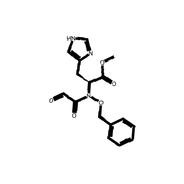 COC(=O)[C@H](Cc1c[nH]cn1)N(OCc1ccccc1)C(=O)C=O